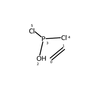 C=C.OP(Cl)Cl